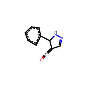 O=C=C1C=NNC1c1ccccc1